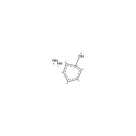 Oc1ccccc1.[HH].[HH]